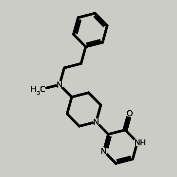 CN(CCc1ccccc1)C1CCN(c2ncc[nH]c2=O)CC1